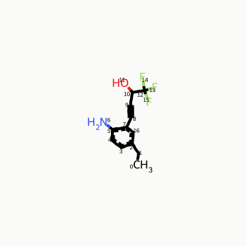 CCc1ccc(N)c(C#CC(O)C(F)(F)F)c1